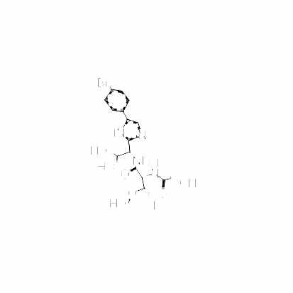 COC(=O)N[C@H](C(=O)N[C@H](c1ncc(-c2ccc(Br)cc2)[nH]1)C(C)C)[C@@H](C)OC